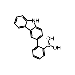 OB(O)c1ccccc1-c1ccc2[nH]c3ccccc3c2c1